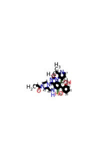 C=CC(=O)N1CCN2c3nc(=O)n(-c4c(C)ccnc4C(C)C)c4c(F)c(-c5c(O)cccc5O)c(F)c(c34)NCC2C1